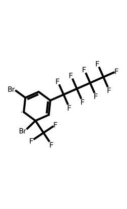 FC(F)(F)C1(Br)[CH]C(Br)=CC(C(F)(F)C(F)(F)C(F)(F)C(F)(F)F)=C1